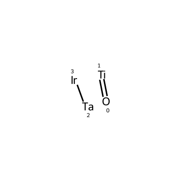 [O]=[Ti].[Ta][Ir]